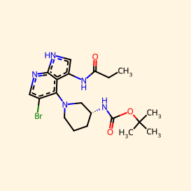 CCC(=O)Nc1c[nH]c2ncc(Br)c(N3CCC[C@@H](NC(=O)OC(C)(C)C)C3)c12